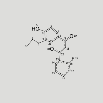 CCCc1c(O)ccc2c(=O)cc(-c3ccccc3F)oc12